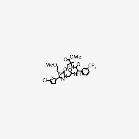 COCCn1c(-c2ccc(Cl)s2)nn(CC(=O)NC(C(=O)NC(C)(C)C(=O)OC)c2cccc(C(F)(F)F)c2)c1=O